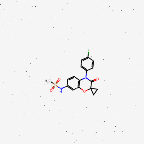 CS(=O)(=O)Nc1ccc2c(c1)OC1(CC1)C(=O)N2c1ccc(F)cc1